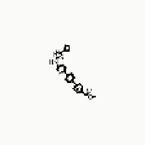 COC(=O)CC12CCC(c3ccc(-c4ccc(Nc5nnc(C6CCC6)s5)cn4)cc3)(CC1)CO2